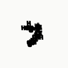 O=C(C=Cc1ccccc1N1CCC(NC(=O)CN2CCS(=O)(=O)CC2)CC1)NO